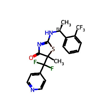 C[C@H](NC1=NC(=O)C(C)(C(F)(F)c2ccncc2)S1)c1ccccc1C(F)(F)F